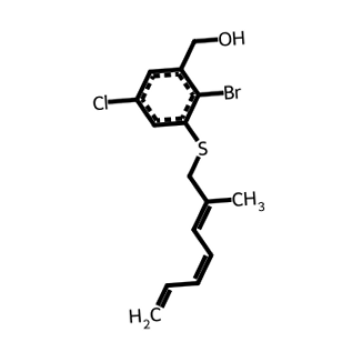 C=C/C=C\C=C(/C)CSc1cc(Cl)cc(CO)c1Br